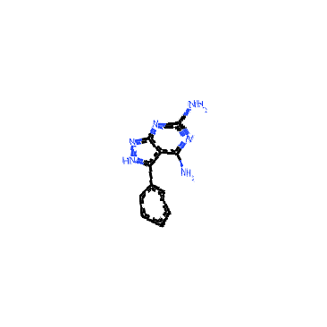 Nc1nc(N)c2c(-c3ccccc3)[nH]nc2n1